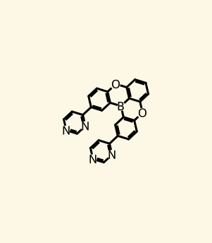 c1cc2c3c(c1)Oc1ccc(-c4ccncn4)cc1B3c1cc(-c3ccncn3)ccc1O2